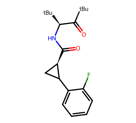 CC(C)(C)C(=O)[C@@H](NC(=O)[C@@H]1CC1c1ccccc1F)C(C)(C)C